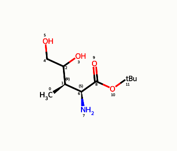 C[C@@H](C(O)CO)[C@H](N)C(=O)OC(C)(C)C